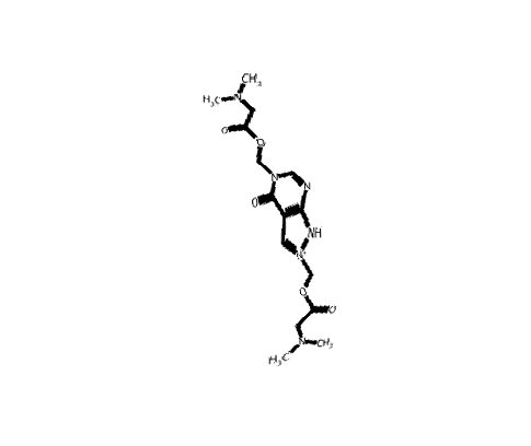 CN(C)CC(=O)OCn1cnc2[nH][n+](COC(=O)CN(C)C)cc2c1=O